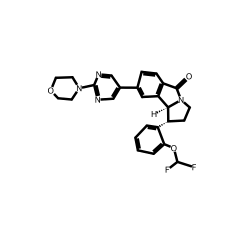 O=C1c2ccc(-c3cnc(N4CCOCC4)nc3)cc2[C@@H]2[C@@H](c3ccccc3OC(F)F)CCN12